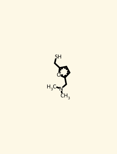 CN(C)Cc1ccc(CS)o1